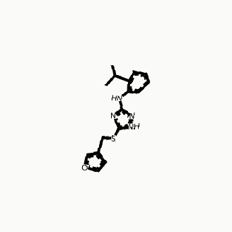 CC(C)c1ccccc1Nc1n[nH]c(SCc2ccoc2)n1